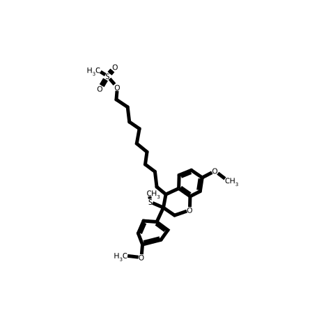 COc1ccc(C2(SC)COc3cc(OC)ccc3C2CCCCCCCCCOS(C)(=O)=O)cc1